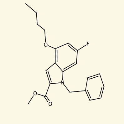 CCCCOc1cc(F)cc2c1cc(C(=O)OC)n2Cc1ccccc1